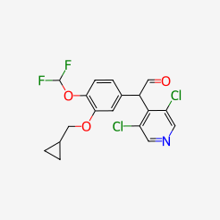 O=CC(c1ccc(OC(F)F)c(OCC2CC2)c1)c1c(Cl)cncc1Cl